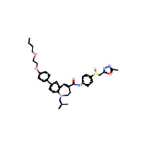 CCCCOCCOc1ccc(-c2ccc3c(c2)C=C(C(=O)Nc2ccc([S+]([O-])Cc4nnc(C)o4)cc2)CCN3CC(C)C)cc1